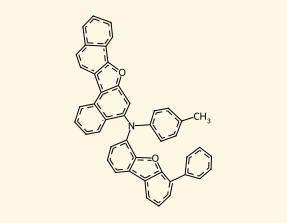 Cc1ccc(N(c2cc3oc4c5ccccc5ccc4c3c3ccccc23)c2cccc3c2oc2c(-c4ccccc4)cccc23)cc1